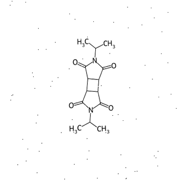 CC(C)N1C(=O)C2C(C1=O)C1C(=O)N(C(C)C)C(=O)C21